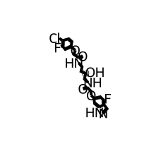 O=C(COc1ccc(Cl)c(F)c1)NCC[C@H](O)CNC(=O)COc1cc(F)c2cn[nH]c2c1